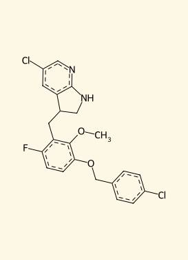 COc1c(OCc2ccc(Cl)cc2)ccc(F)c1CC1CNc2ncc(Cl)cc21